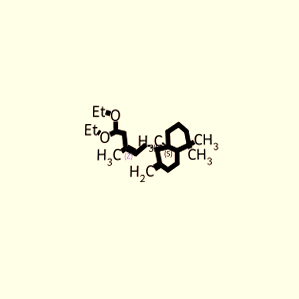 C=C1CCC2C(C)(C)CCC[C@]2(C)[C@H]1C/C=C(/C)CC(OCC)OCC